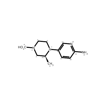 C[C@H]1CN(C(=O)O)CCN1c1ccc(N)nc1